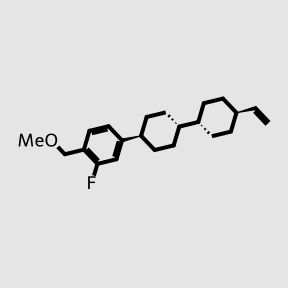 C=C[C@H]1CC[C@H]([C@H]2CC[C@H](c3ccc(COC)c(F)c3)CC2)CC1